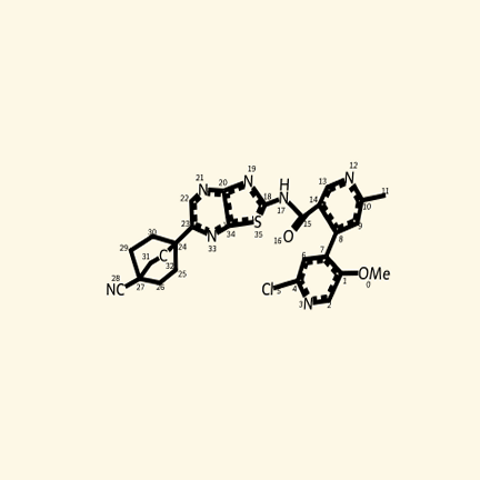 COc1cnc(Cl)cc1-c1cc(C)ncc1C(=O)Nc1nc2ncc(C34CCC(C#N)(CC3)CC4)nc2s1